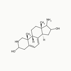 C[C@]12CNC(O)CC1=CC=C1[C@H]2CC[C@]2(C)C(N)C(O)C[C@@H]12